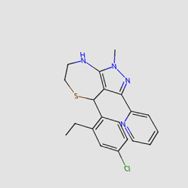 CCc1cc(Cl)ccc1C1SCCNc2c1c(-c1ccccn1)nn2C